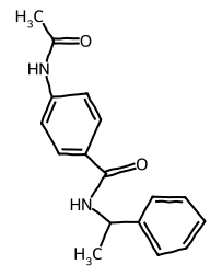 CC(=O)Nc1ccc(C(=O)NC(C)c2ccccc2)cc1